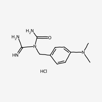 CN(C)c1ccc(CN(C(=N)N)C(N)=O)cc1.Cl